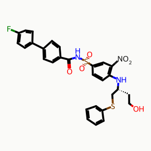 O=C(NS(=O)(=O)c1ccc(N[C@H](CCO)CSc2ccccc2)c([N+](=O)[O-])c1)c1ccc(-c2ccc(F)cc2)cc1